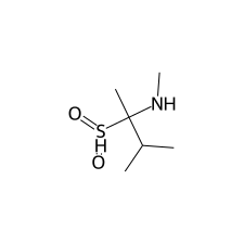 CNC(C)(C(C)C)[SH](=O)=O